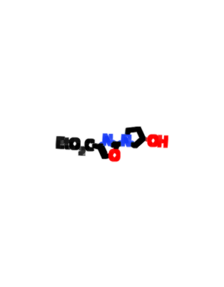 CCOC(=O)c1coc(N2CC[C@H](O)C2)n1